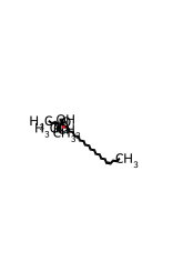 CCC/C=C\CCCCCCCCCCCCCCCOP(=O)(O)C(CCC)[N+](C)(C)C